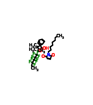 C=CC(F)(F)C(F)(F)C(F)(F)C(F)(F)F.CC(C)(C)C1(C(=O)O)CC2C=CC1C2.CCCCCCCCN1C(=O)C=CC1=O